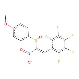 COc1ccc([S+]([O-])/C(=C\c2c(F)c(F)c(F)c(F)c2F)[N+](=O)[O-])cc1